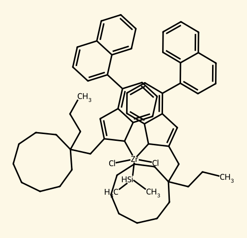 CCCC1(CC2=Cc3c(-c4cccc5ccccc45)cccc3[CH]2[Zr]([Cl])([Cl])([CH]2C(CC3(CCC)CCCCCCCC3)=Cc3c(-c4cccc5ccccc45)cccc32)[SiH](C)C)CCCCCCCC1